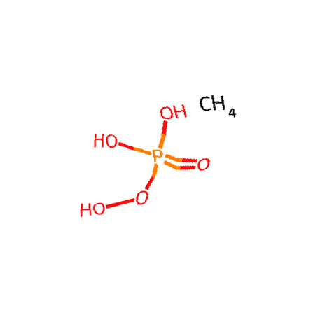 C.O=P(O)(O)OO